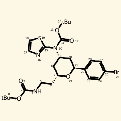 CC(C)(C)OC(=O)NCC[C@@H]1C[C@H](N(C(=O)OC(C)(C)C)c2nccs2)C[C@@H](c2ccc(Br)cc2)O1